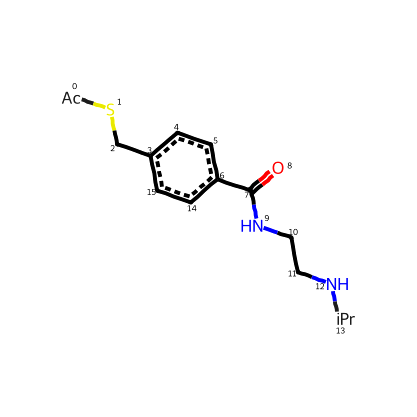 CC(=O)SCc1ccc(C(=O)NCCNC(C)C)cc1